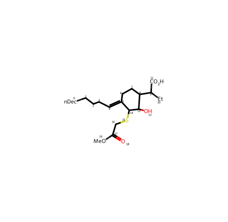 CCCCCCCCCCCCCC=C1CCC(C(CC)C(=O)O)C(O)C1SCC(=O)OC